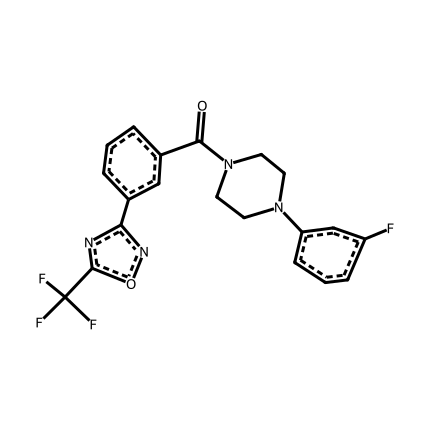 O=C(c1cccc(-c2noc(C(F)(F)F)n2)c1)N1CCN(c2cccc(F)c2)CC1